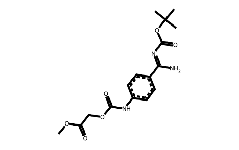 COC(=O)COC(=O)Nc1ccc(/C(N)=N/C(=O)OC(C)(C)C)cc1